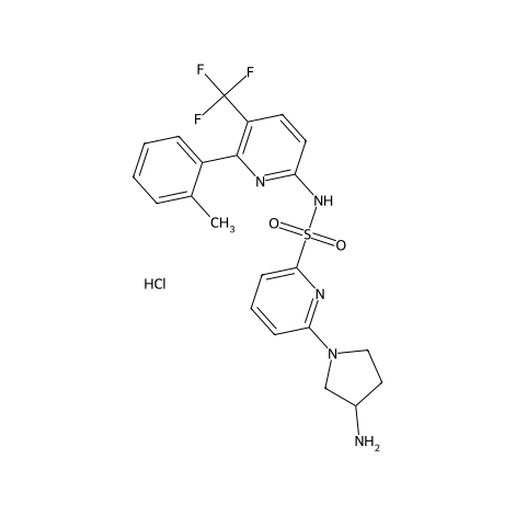 Cc1ccccc1-c1nc(NS(=O)(=O)c2cccc(N3CCC(N)C3)n2)ccc1C(F)(F)F.Cl